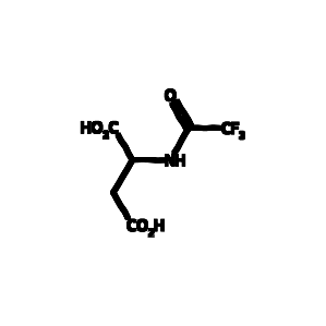 O=C(O)CC(NC(=O)C(F)(F)F)C(=O)O